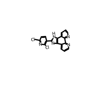 Clc1ccc(-c2nc3c4cccnc4c4ncccc4c3[nH]2)c(Cl)n1